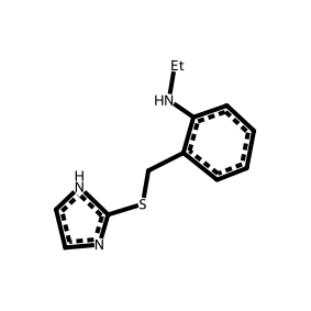 CCNc1ccccc1CSc1ncc[nH]1